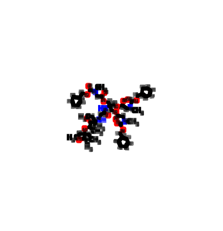 CCC(C)(NCC(=O)NC(COC(=O)CN(C)C(=O)OCc1ccccc1)(COC(=O)CN(C)C(=O)OCc1ccccc1)COC(=O)CN(C)C(=O)OCc1ccccc1)C(=O)C(C)OC(CC)(CC)C(C)=O